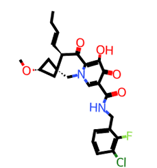 CC/C=C/[C@H]1C(=O)c2c(O)c(=O)c(C(=O)NCc3cccc(Cl)c3F)cn2C[C@]12C[C@@H](OC)C2